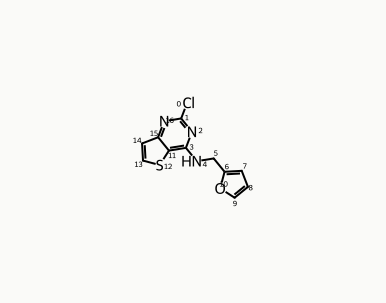 Clc1nc(NCc2ccco2)c2sccc2n1